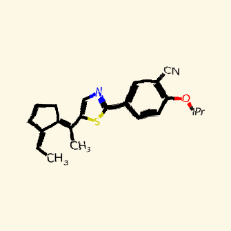 C/C=C1/CCC/C1=C(/C)c1cnc(-c2ccc(OC(C)C)c(C#N)c2)s1